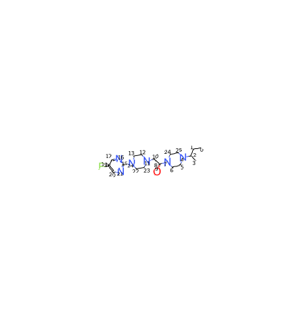 CCC(C)N1CCN(C(=O)CN2CCN(c3ncc(F)cn3)CC2)CC1